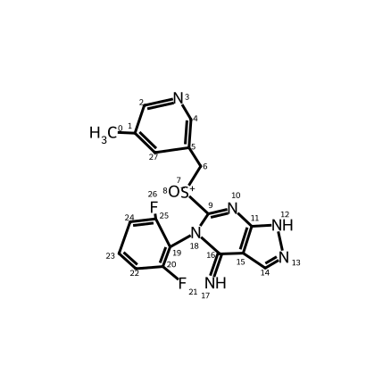 Cc1cncc(C[S+]([O-])c2nc3[nH]ncc3c(=N)n2-c2c(F)cccc2F)c1